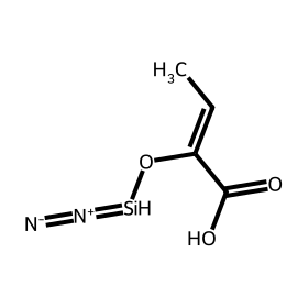 CC=C(O[SiH]=[N+]=[N-])C(=O)O